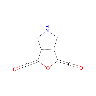 O=C=C1OC(=C=O)C2CNCC12